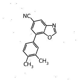 Cc1ccc(-c2cc(C#N)cc3ncoc23)cc1C